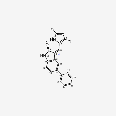 Cc1cc(C)c(/C=C2\C(=O)Nc3ccc(-c4ccccn4)cc32)[nH]1